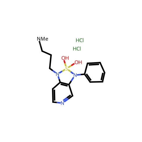 CNCCCN1c2ccncc2N(c2ccccc2)S1(O)O.Cl.Cl